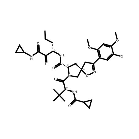 CCC[C@H](NC(=O)[C@@H]1C[C@]2(CC(c3cc(Cl)c(OC)cc3OC)=NO2)CN1C(=O)[C@@H](NC(=O)C1CC1)C(C)(C)C)C(=O)C(=O)NC1CC1